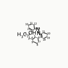 CC(O)Cc1ccccc1.c1ccc(N=Nc2ccccc2)cc1